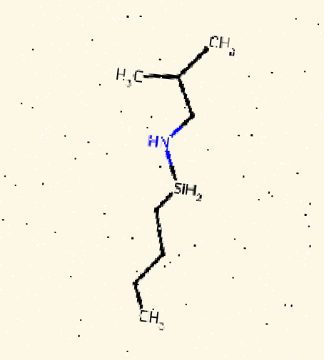 CCCC[SiH2]NCC(C)C